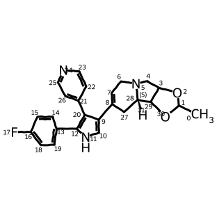 CC1OC2CN3CC=C(c4c[nH]c(-c5ccc(F)cc5)c4-c4ccncc4)C[C@H]3C2O1